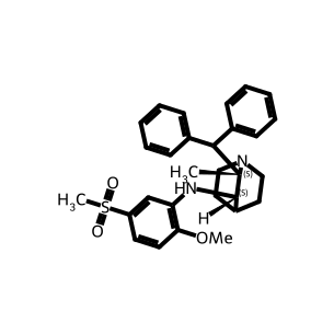 COc1ccc(S(C)(=O)=O)cc1N[C@H]1C2CCN(CC2)[C@@]1(C)C(c1ccccc1)c1ccccc1